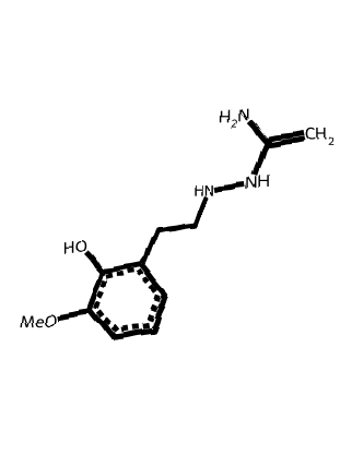 C=C(N)NNCCc1cccc(OC)c1O